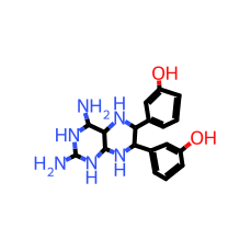 NC1NC(N)C2NC(c3cccc(O)c3)C(c3cccc(O)c3)NC2N1